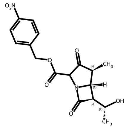 C[C@@H]1C(=O)C(C(=O)OCc2ccc([N+](=O)[O-])cc2)N2C(=O)[C@H]([C@@H](C)O)[C@@H]12